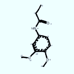 CCC(=O)Nc1ccc(OC)c(OC)c1